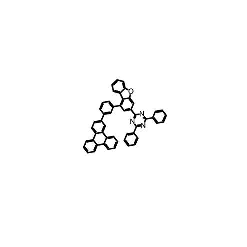 c1ccc(-c2nc(-c3ccccc3)nc(-c3cc(-c4cccc(-c5ccc6c7ccccc7c7ccccc7c6c5)c4)c4c(c3)oc3ccccc34)n2)cc1